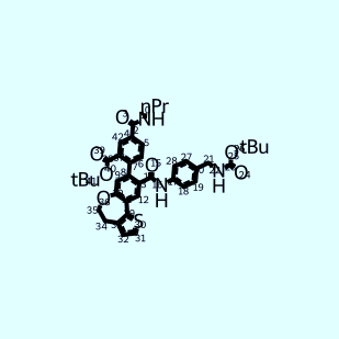 CCCNC(=O)c1ccc(-c2cc3c(cc2C(=O)Nc2ccc(CNC(=O)OC(C)(C)C)cc2)-c2sccc2CCO3)c(C(=O)OC(C)(C)C)c1